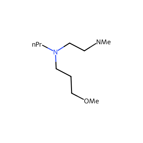 CCCN(CCCOC)CCNC